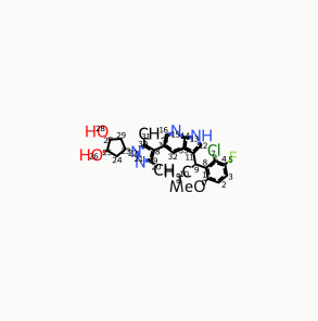 COc1ccc(F)c(Cl)c1[C@@H](C)c1c[nH]c2ncc(-c3c(C)nn([C@@H]4C[C@@H](O)[C@@H](O)C4)c3C)cc12